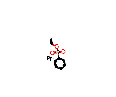 C=COS(=O)(=O)c1ccccc1.[Pr]